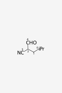 CC(C)CC(C#N)C=O